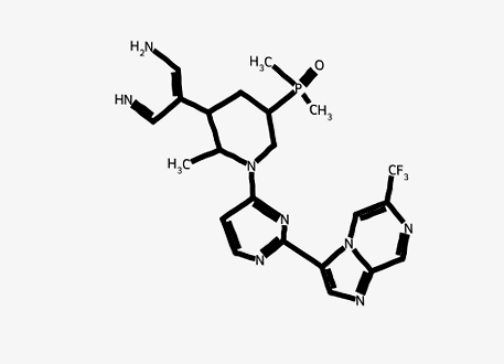 CC1C(/C(C=N)=C/N)CC(P(C)(C)=O)CN1c1ccnc(-c2cnc3cnc(C(F)(F)F)cn23)n1